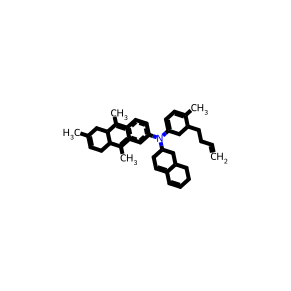 C=CCCC1CC(N(c2ccc3c(c2)=C(C)C2CC=C(C)CC2C=3C)C2CC=C3C=CCCC3C2)=CC=C1C